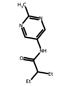 CCC(CC)C(=O)Nc1cnc(C)nc1